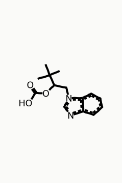 CC(C)(C)C(Cn1cnc2ccccc21)OC(=O)O